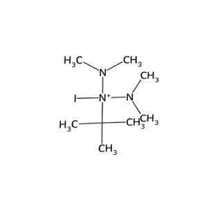 CN(C)[N+](I)(N(C)C)C(C)(C)C